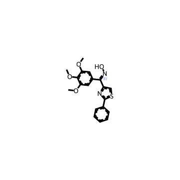 COc1cc(/C(=N\O)c2csc(-c3ccccc3)n2)cc(OC)c1OC